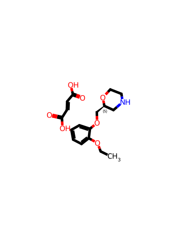 CCOc1ccccc1OC[C@@H]1CNCCO1.O=C(O)C=CC(=O)O